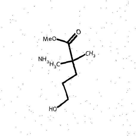 COC(=O)C(C)(C)CCCO.N